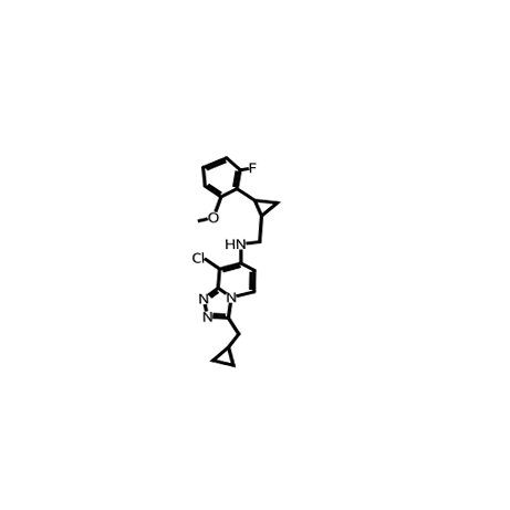 COc1cccc(F)c1C1CC1CNc1ccn2c(CC3CC3)nnc2c1Cl